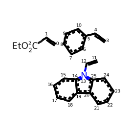 C=CC(=O)OCC.C=Cc1ccccc1.C=Cn1c2ccccc2c2ccccc21